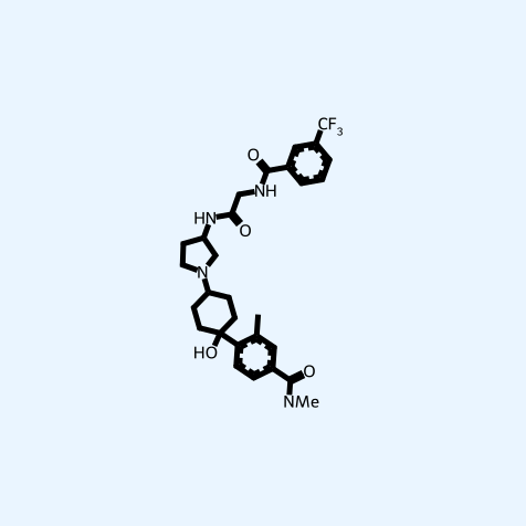 CNC(=O)c1ccc(C2(O)CCC(N3CCC(NC(=O)CNC(=O)c4cccc(C(F)(F)F)c4)C3)CC2)c(C)c1